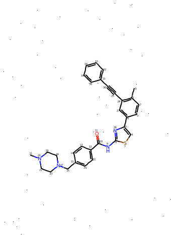 Cc1ccc(-c2csc(NC(=O)c3ccc(CN4CCN(C)CC4)cc3)n2)cc1C#Cc1ccccc1